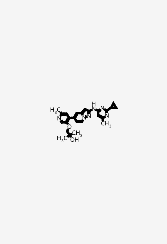 Cc1cc(-c2ccn3nc(Nc4cc(C)nc(C5CC5)n4)cc3c2)c(OCC(C)(C)O)cn1